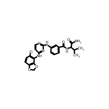 CC(C)C(NC(=O)c1cccc(Nc2nccc(Nc3c(Cl)ccc4c3OCO4)n2)c1)C(N)=O